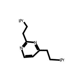 CC(C)CCc1ccnc(CCC(C)C)n1